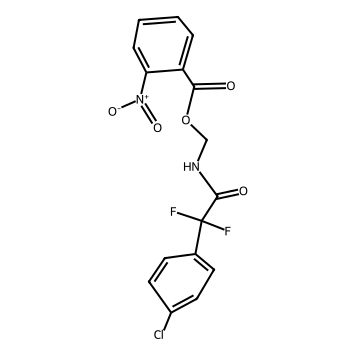 O=C(OCNC(=O)C(F)(F)c1ccc(Cl)cc1)c1ccccc1[N+](=O)[O-]